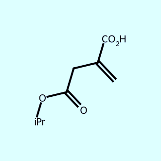 C=C(CC(=O)OC(C)C)C(=O)O